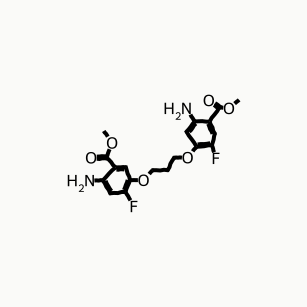 COC(=O)c1cc(F)c(OCCCOc2cc(C(=O)OC)c(N)cc2F)cc1N